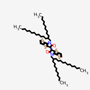 CCCCCCCCCCCCC(CCCCCCCCCC)CN1C(=O)/C(=C2/C(=O)N(CC(CCCCCCCCCC)CCCCCCCCCCCC)c3c2sc2ccsc32)c2sc3ccsc3c21